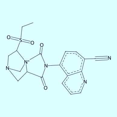 CCS(=O)(=O)C1CN2CC3C(=O)N(c4ccc(C#N)c5ncccc45)C(=O)[N+]31C2